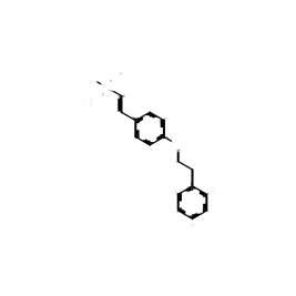 CC(C)[Si](O)(O)C=Cc1ccc(OCCc2ccccc2)cc1